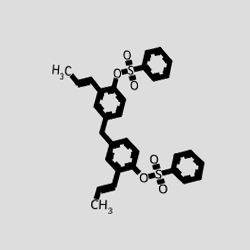 CC=Cc1cc(Cc2ccc(OS(=O)(=O)c3ccccc3)c(C=CC)c2)ccc1OS(=O)(=O)c1ccccc1